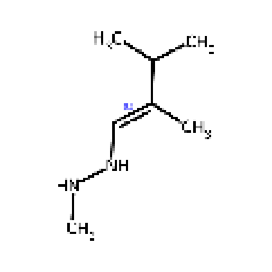 CNN/C=C(\C)C(C)C